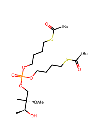 CO[C@](C)(COP(=O)(OCCCCSC(=O)C(C)(C)C)OCCCCSC(=O)C(C)(C)C)[C@H](C)O